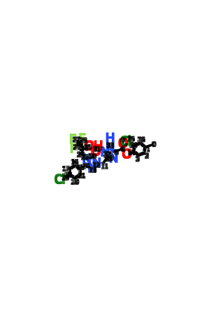 Cc1ccc(OC(=O)c2nc(Cn3nc(-c4ccc(Cl)cc4)n(C[C@@H](O)C(F)(F)F)c3=O)n[nH]2)c(Cl)c1